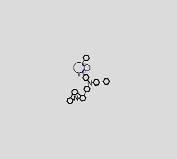 C=C1CCCCC/C(c2ccccc2)=C2/CCCC/C2=C/1c1ccc(N(c2ccc(-c3ccccc3)cc2)c2ccc(-c3cccc4c3c3cccc5c6ccccc6n4c53)cc2)cc1